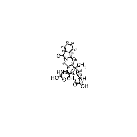 CC(C)[C@@H](NC(=O)O)C(CN1C(=O)c2ccccc2C1=O)CC(C)(C)CCNC(=O)O